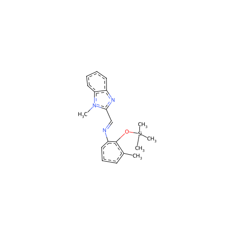 Cc1cccc(N=Cc2nc3ccccc3n2C)c1O[Si](C)(C)C